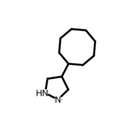 C1CCCC(C2C[N]NC2)CCC1